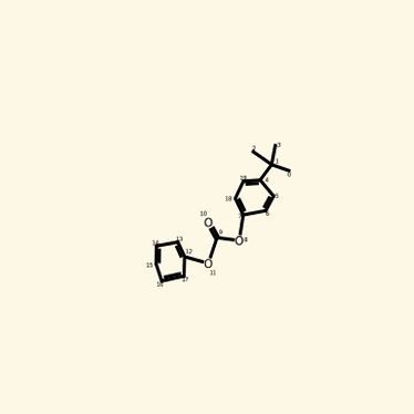 CC(C)(C)c1ccc(OC(=O)Oc2ccccc2)cc1